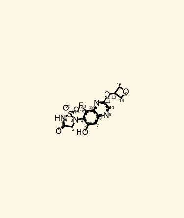 O=C1CN(c2c(O)cc3ncc(OC4COC4)nc3c2F)S(=O)(=O)N1